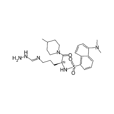 CC1CCN(C(=O)[C@H](CCCN=CNN)NS(=O)(=O)c2cccc3c(N(C)C)cccc23)CC1